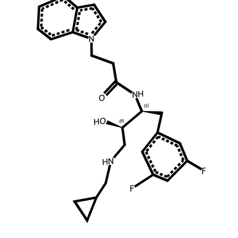 O=C(CCn1ccc2ccccc21)N[C@@H](Cc1cc(F)cc(F)c1)[C@H](O)CNCC1CC1